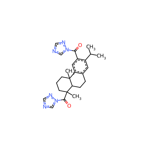 CC(C)c1cc2c(cc1C(=O)n1cncn1)C1(C)CCCC(C)(C(=O)n3cncn3)C1CC2